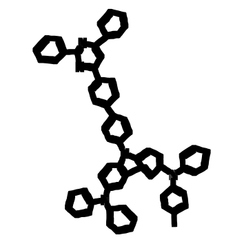 Cc1ccc(N(c2ccccc2)c2ccc3c(c2)c2cc(N(c4ccccc4)c4ccccc4)ccc2n3-c2ccc(-c3ccc(-c4cc(-c5ccccc5)nc(-c5ccccc5)n4)cc3)cc2)cc1